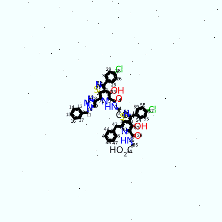 O=C(O)CNC(=O)c1nc(-c2cn(Cc3ccccc3)nn2)c2snc(-c3ccc(Cl)cc3)c2c1O.O=C(O)CNC(=O)c1nc(Cc2ccccc2)c2snc(-c3ccc(Cl)cc3)c2c1O